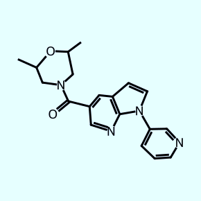 CC1CN(C(=O)c2cnc3c(ccn3-c3cccnc3)c2)CC(C)O1